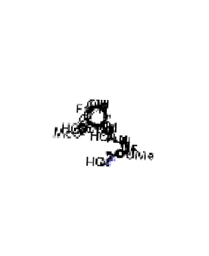 C=C/C(=C\C=C(/C)CO)c1ccc([C@@H](OC)[C@@H](CF)n2cc(CCN(C)[C@H]3C[C@@H](C)O[C@@H](O[C@@H]4[C@@H](C)[C@H](O[C@H]5C[C@@](C)(OC)[C@@H](O)[C@H](C)O5)[C@@H](C)C(=O)O[C@H](CC)[C@@](C)(O)[C@H](O)[C@@H](C)N(C)C[C@H](C)C[C@@]4(C)O)[C@@H]3O)nn2)cc1